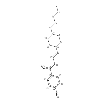 CCCCCC1CCC(C=CCC(=O)c2ccc(F)cc2)CC1